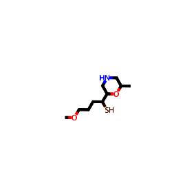 COCCCC(S)C1CNCC(C)O1